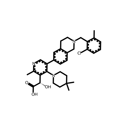 Cc1cccc(Cl)c1CN1CCc2cc(-c3cnc(C)c([C@H](O)C(=O)O)c3N3CCC(C)(C)CC3)ccc2C1